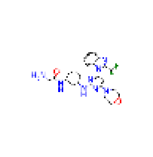 NCC(=O)NC1CCCC(Nc2nc(N3CCOCC3)cc(-n3c(C(F)F)nc4ccccc43)n2)C1